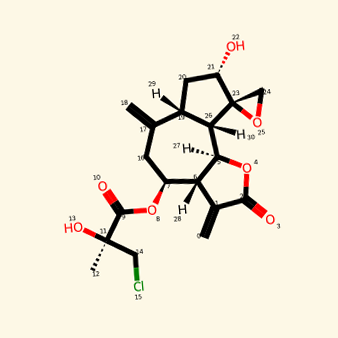 C=C1C(=O)O[C@H]2[C@H]1[C@@H](OC(=O)[C@](C)(O)CCl)CC(=C)[C@@H]1C[C@H](O)[C@@]3(CO3)[C@H]21